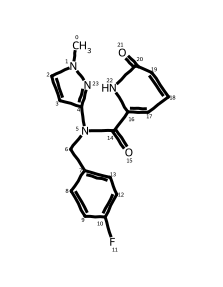 Cn1ccc(N(Cc2ccc(F)cc2)C(=O)c2cccc(=O)[nH]2)n1